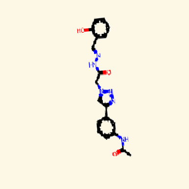 CC(=O)Nc1cccc(-c2cn(CC(=O)NN=Cc3ccccc3O)nn2)c1